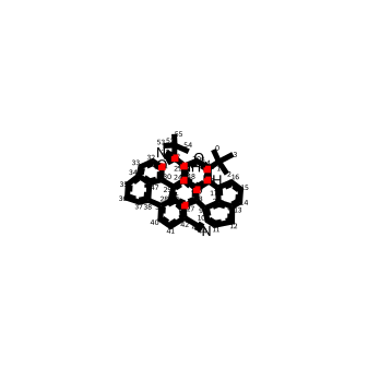 CC(C)(C)C(=O)Nc1c(-c2cccc3cccc(-c4ccc(C#N)cc4)c23)ccc(-c2cccc3cccc(-c4ccc(C#N)cc4)c23)c1NC(=O)C(C)(C)C